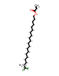 C=CC(=O)OCCCCCCCCCCCCCCCCCC[SiH2]C(F)F